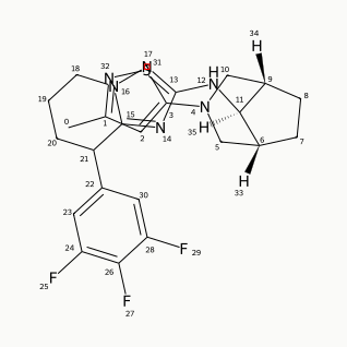 Cc1cc(N2C[C@H]3CC[C@@H](C2)[C@@H]3Nc2nc3n(n2)CCCC3c2cc(F)c(F)c(F)c2)sn1